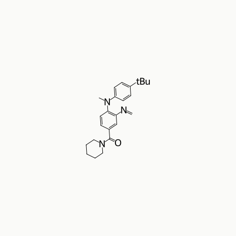 C=Nc1cc(C(=O)N2CCCCC2)ccc1N(C)c1ccc(C(C)(C)C)cc1